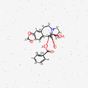 O=C(OC1=C2c3cc4c(cc3CCN3CCC[C@]23[C@H](O)C1=O)OCO4)c1ccccc1